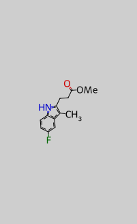 COC(=O)CCc1[nH]c2ccc(F)cc2c1C